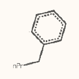 CCCCc1[c]cccc1